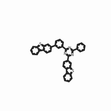 c1ccc(-c2nc(-c3cccc(-c4ccc5c(c4)sc4ccccc45)c3)nc(-c3ccc4c(c3)sc3ccccc34)n2)cc1